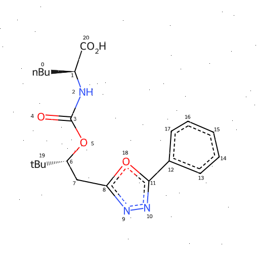 CCCC[C@H](NC(=O)O[C@H](Cc1nnc(-c2ccccc2)o1)C(C)(C)C)C(=O)O